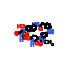 Cn1c(=O)n(C2CCC(=O)NC2=O)c2ccc(Nc3cccc(CC(=O)Nc4ccc5c(F)c(N6CC(=O)NS6(=O)=O)c(O)cc5c4)c3)cc21